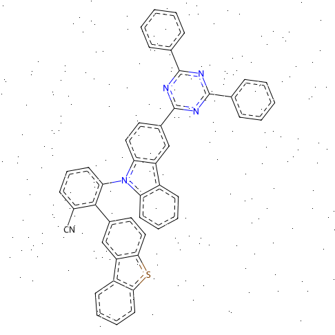 N#Cc1cccc(-n2c3ccccc3c3cc(-c4nc(-c5ccccc5)nc(-c5ccccc5)n4)ccc32)c1-c1ccc2sc3ccccc3c2c1